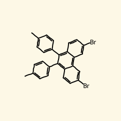 Cc1ccc(-c2c(-c3ccc(C)cc3)c3ccc(Br)cc3c3cc(Br)ccc23)cc1